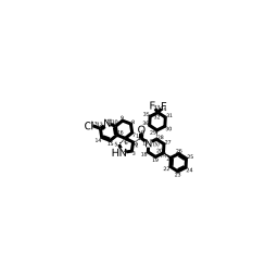 O=C([C@@H]1CNC[C@]12CCCc1nc(Cl)ccc12)N1CC[C@H](c2ccccc2)C[C@H]1C1CCC(F)(F)CC1